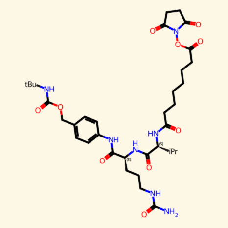 CC(C)[C@H](NC(=O)CCCCCCC(=O)ON1C(=O)CCC1=O)C(=O)N[C@@H](CCCNC(N)=O)C(=O)Nc1ccc(COC(=O)NC(C)(C)C)cc1